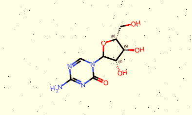 Nc1ncn(C2O[C@H](CO)[C@@H](O)[C@@H]2O)c(=O)n1